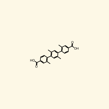 Cc1cc(C(=O)O)ccc1-c1cc(C)c(-c2ccc(C(=O)O)cc2C)cc1C